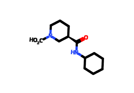 O=C(NC1CCCCC1)[C@@H]1CCCN(C(=O)O)C1